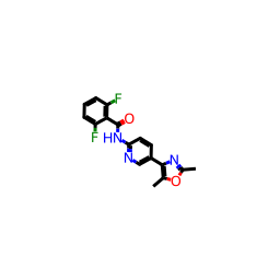 Cc1nc(-c2ccc(NC(=O)c3c(F)cccc3F)nc2)c(C)o1